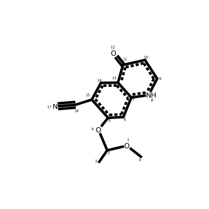 COC(C)Oc1cc2[nH]ccc(=O)c2cc1C#N